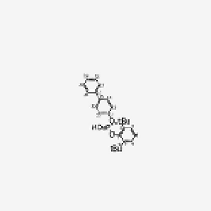 CC(C)(C)c1cccc(C(C)(C)C)c1OP(O)Oc1ccc(-c2ccccc2)cc1